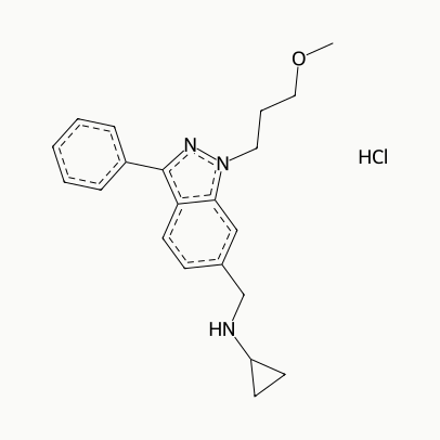 COCCCn1nc(-c2ccccc2)c2ccc(CNC3CC3)cc21.Cl